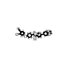 N#Cc1ccc(OC2CCC(C(=O)Nc3ccc(C4CCC5(CC4)OCCO5)nn3)CC2)cc1Cl